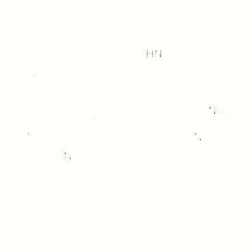 O=S(=O)(Nc1cccc(-c2n[nH]c3c2CNC3)c1)C1CC1